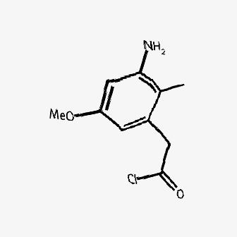 COc1cc(N)c(C)c(CC(=O)Cl)c1